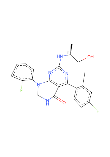 Cc1cc(F)ccc1-c1nc(N[C@@H](C)CO)nc2c1C(=O)NCN2c1ccccc1F